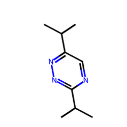 CC(C)c1cnc(C(C)C)nn1